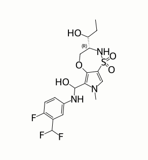 CCC(O)[C@H]1COc2c(cn(C)c2C(O)Nc2ccc(F)c(C(F)F)c2)S(=O)(=O)N1